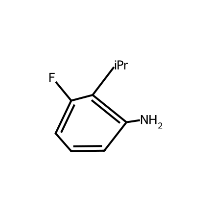 CC(C)c1c(N)cccc1F